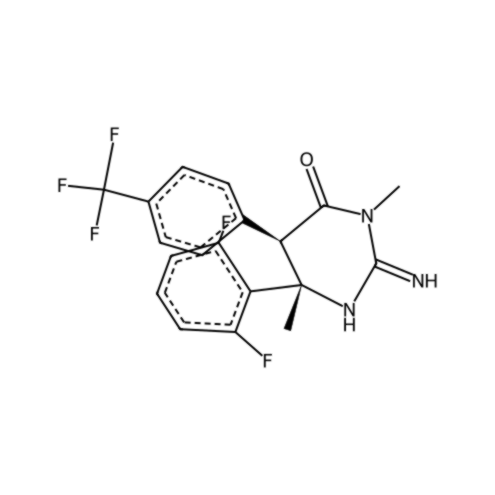 CN1C(=N)N[C@](C)(c2c(F)cccc2F)[C@@H](c2ccc(C(F)(F)F)cc2)C1=O